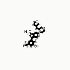 Cn1nc(-c2cc(C(F)(F)F)c(F)c(O)c2F)c2cnc(N3CCOCC3CC3CCOC3)cc21